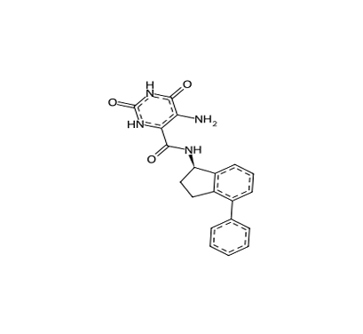 Nc1c(C(=O)N[C@@H]2CCc3c(-c4ccccc4)cccc32)[nH]c(=O)[nH]c1=O